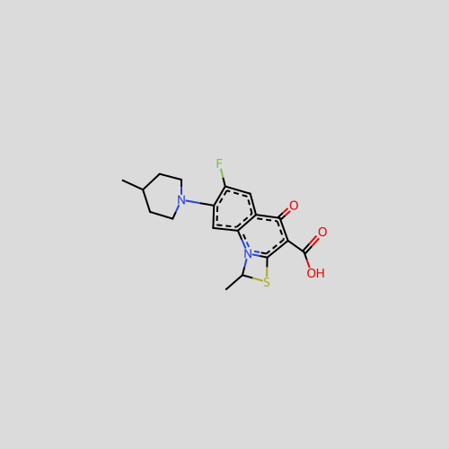 CC1CCN(c2cc3c(cc2F)c(=O)c(C(=O)O)c2n3C(C)S2)CC1